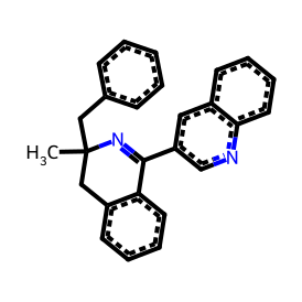 CC1(Cc2ccccc2)Cc2ccccc2C(c2cnc3ccccc3c2)=N1